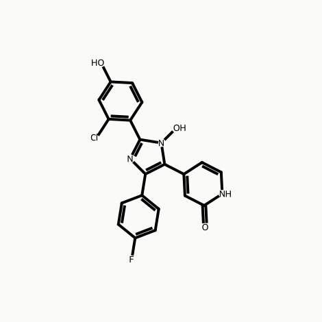 O=c1cc(-c2c(-c3ccc(F)cc3)nc(-c3ccc(O)cc3Cl)n2O)cc[nH]1